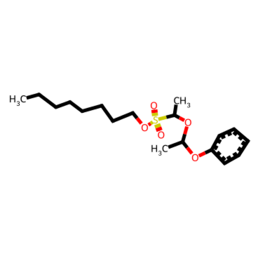 CCCCCCCCOS(=O)(=O)C(C)OC(C)Oc1ccccc1